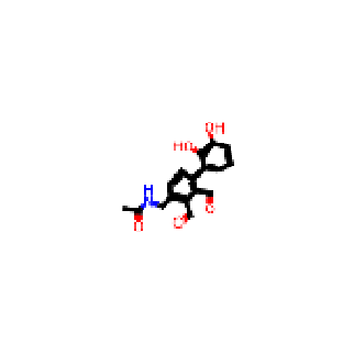 CC(=O)NCc1ccc(-c2cccc(O)c2O)c(C=O)c1C=O